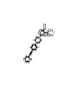 C[C@@H](O)[C@H](NC(=O)N1CCN(c2ccc(C#Cc3cnccn3)cc2)CC1)C(=O)O